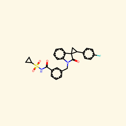 O=C(NS(=O)(=O)C1CC1)c1cccc(CN2C(=O)C3(CC3c3ccc(F)cc3)c3ccccc32)c1